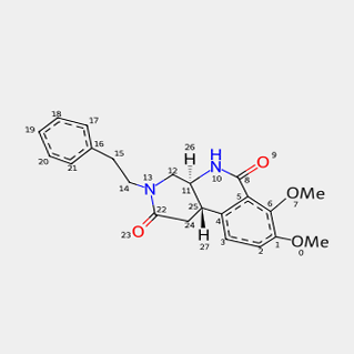 COc1ccc2c(c1OC)C(=O)N[C@@H]1CN(CCc3ccccc3)C(=O)C[C@@H]21